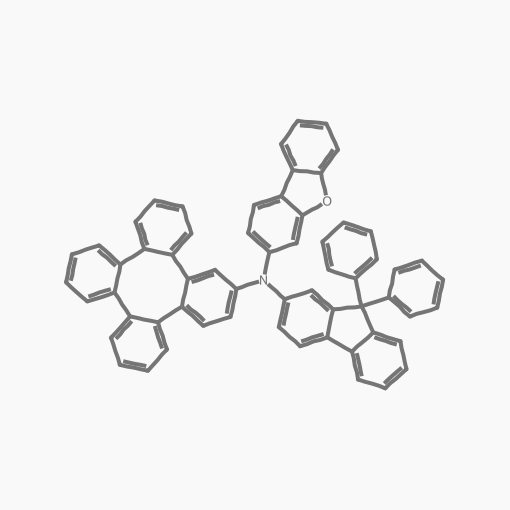 c1ccc(C2(c3ccccc3)c3ccccc3-c3ccc(N(c4ccc5c(c4)-c4ccccc4-c4ccccc4-c4ccccc4-5)c4ccc5c(c4)oc4ccccc45)cc32)cc1